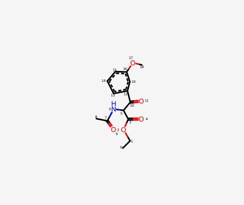 CCOC(=O)C(NC(C)=O)C(=O)c1cccc(OC)c1